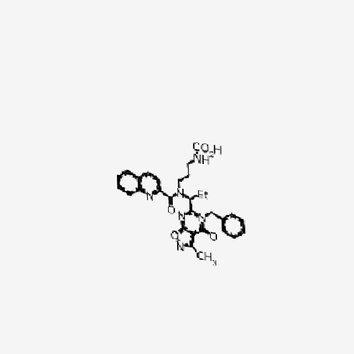 CCC(c1nc2onc(C)c2c(=O)n1Cc1ccccc1)N(CCCNC(=O)O)C(=O)c1ccc2ccccc2n1